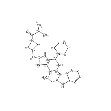 CCC1NC2C=CC=CC2N1C1NC2=C(NC(OC3CN(C(=O)C(C)C)C3)N2)C(N2CCOCC2)N1